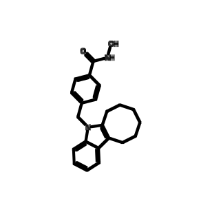 O=C(NO)c1ccc(Cn2c3c(c4ccccc42)CCCCCC3)cc1